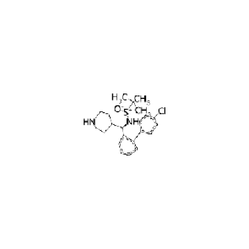 CC(C)(C)[S+]([O-])N[C@@H](c1ccccc1-c1ccc(Cl)cc1)C1CCNCC1